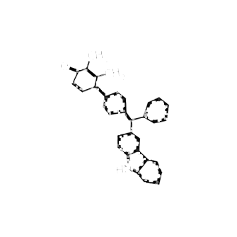 CC1=C(C)C(=c2ccc(=C(c3ccccc3)c3ccc4[nH]c5ccccc5c4c3)cc2)C=CC1=O